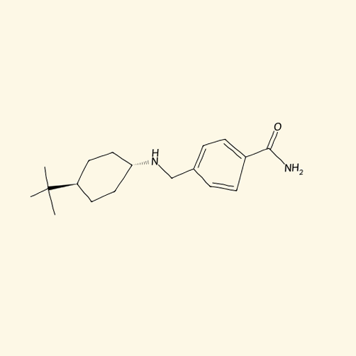 CC(C)(C)[C@H]1CC[C@H](NCc2ccc(C(N)=O)cc2)CC1